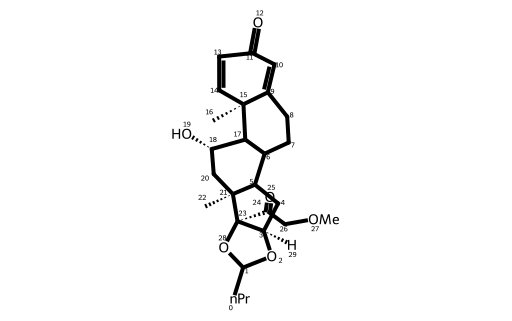 CCCC1O[C@@H]2CC3C4CCC5=CC(=O)C=C[C@]5(C)C4[C@@H](O)C[C@]3(C)[C@]2(C(=O)COC)O1